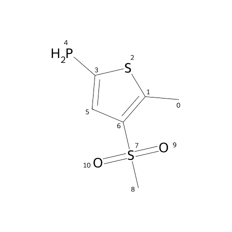 Cc1sc(P)cc1S(C)(=O)=O